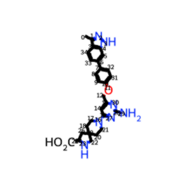 Cc1n[nH]c2cc(-c3ccc(OCc4cc(N5CCC6(CC5)CNC(C(=O)O)C6)nc(N)n4)cc3)ccc12